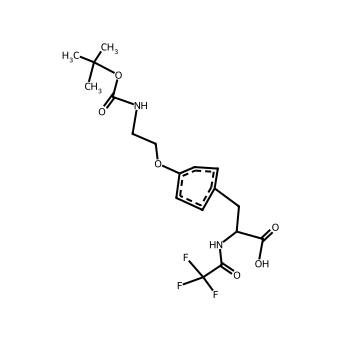 CC(C)(C)OC(=O)NCCOc1ccc(CC(NC(=O)C(F)(F)F)C(=O)O)cc1